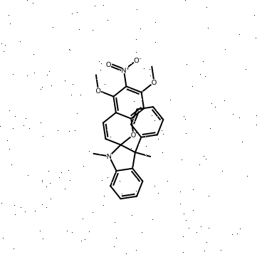 COc1cc2c(c(OC)c1[N+](=O)[O-])C=CC1(O2)N(C)c2ccccc2C1(C)c1ccccc1